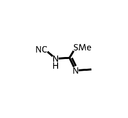 C/N=C(/NC#N)SC